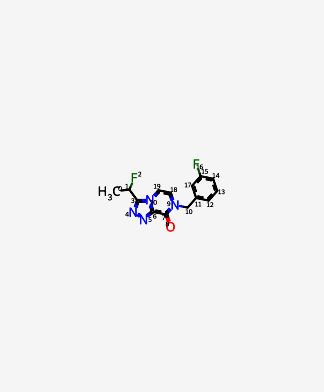 CC(F)c1nnc2c(=O)n(Cc3cccc(F)c3)ccn12